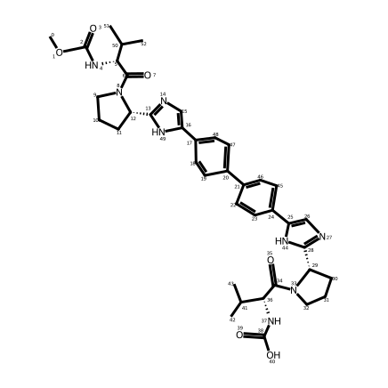 COC(=O)N[C@@H](C(=O)N1CCC[C@H]1c1ncc(-c2ccc(-c3ccc(-c4cnc([C@@H]5CCCN5C(=O)[C@H](NC(=O)O)C(C)C)[nH]4)cc3)cc2)[nH]1)C(C)C